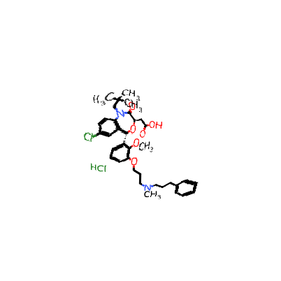 COc1c(OCCCN(C)CCCc2ccccc2)cccc1[C@H]1O[C@H](CC(=O)O)C(=O)N(CC(C)(C)C)c2ccc(Cl)cc21.Cl